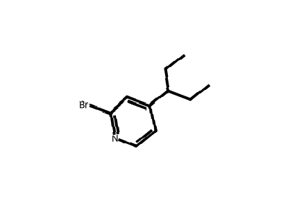 CC[C](CC)c1ccnc(Br)c1